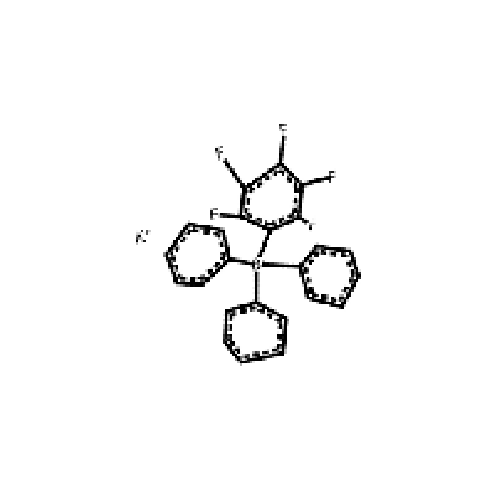 Fc1c(F)c(F)c([B-](c2ccccc2)(c2ccccc2)c2ccccc2)c(F)c1F.[K+]